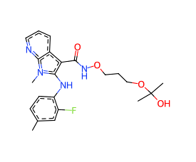 Cc1ccc(Nc2c(C(=O)NOCCCOC(C)(C)O)c3cccnc3n2C)c(F)c1